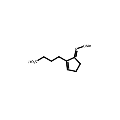 CCOC(=O)CCCC1=CCC/C1=N\OC